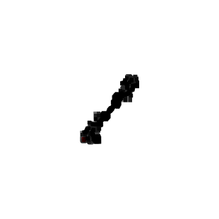 CCCN(C(=O)[C@@H](NC(=O)OC)C(C)C)[C@@H](C)c1nc2ccc3cc(C#Cc4ccc(-c5cnc([C@H](C)N(CCC)C(=O)[C@H](NC(=O)OC)c6ccccc6)[nH]5)cc4)ccc3c2[nH]1